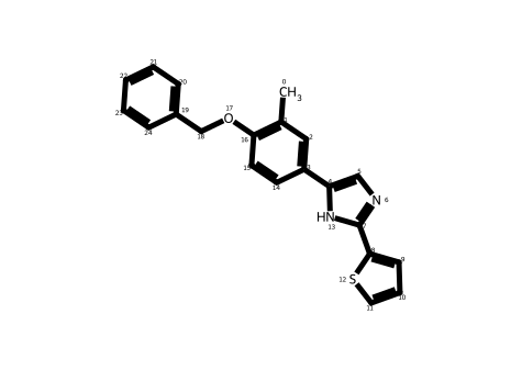 Cc1cc(-c2cnc(-c3cccs3)[nH]2)ccc1OCc1ccccc1